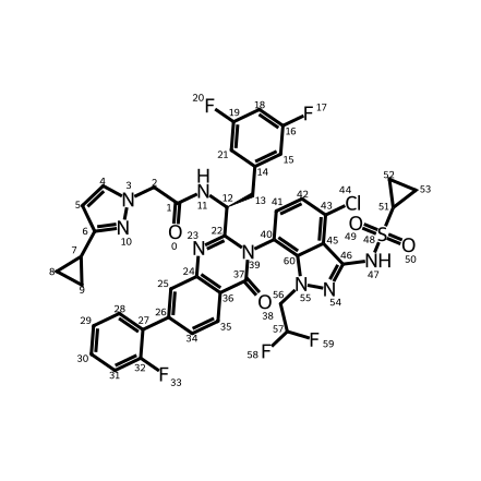 O=C(Cn1ccc(C2CC2)n1)N[C@@H](Cc1cc(F)cc(F)c1)c1nc2cc(-c3ccccc3F)ccc2c(=O)n1-c1ccc(Cl)c2c(NS(=O)(=O)C3CC3)nn(CC(F)F)c12